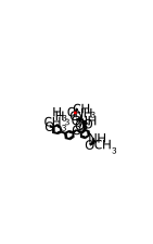 COc1ccc(-c2cccc(Oc3ccc(NC(C)=O)cc3S(=O)(=O)NC(=O)NC(C)(C)C)c2)cc1